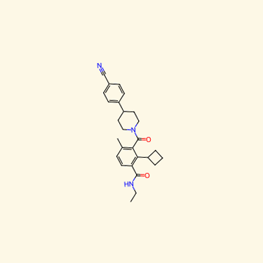 CCNC(=O)c1ccc(C)c(C(=O)N2CCC(c3ccc(C#N)cc3)CC2)c1C1CCC1